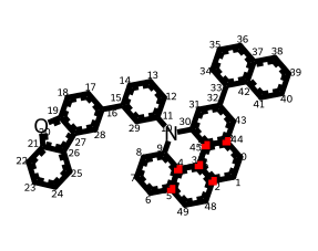 c1ccc(-c2ccccc2N(c2cccc(-c3ccc4oc5ccccc5c4c3)c2)c2cc(-c3cccc4ccccc34)ccc2-c2ccccc2)cc1